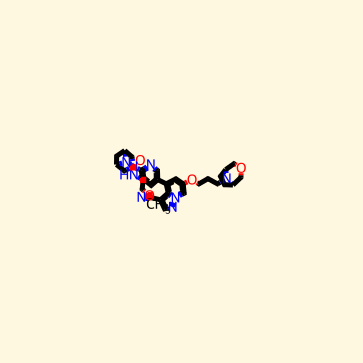 COCCNC(=O)N1C2CC1CN(c1ccc(-c3cc(OCCCN4C5CCC4COC5)cn4ncc(C#N)c34)cn1)C2